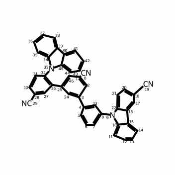 N#Cc1cc(-c2cccc(-n3c4ccccc4c4cc(C#N)ccc43)c2)cc(-c2cc(C#N)ccc2-n2c3ccccc3c3ccccc32)c1